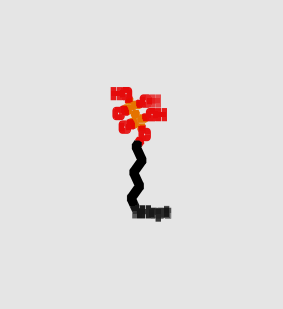 CCCCCCCCCCCCOP(=O)(O)P(=O)(O)O